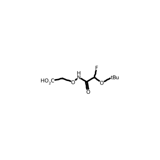 CC(C)(C)OC(F)C(=O)NOCC(=O)O